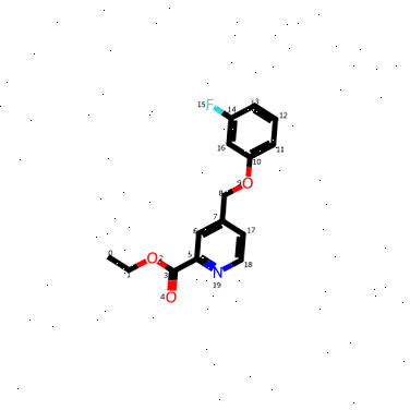 CCOC(=O)c1cc(COc2cccc(F)c2)ccn1